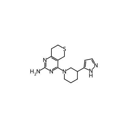 Nc1nc2c(c(N3CCCC(c4ccn[nH]4)C3)n1)CSCC2